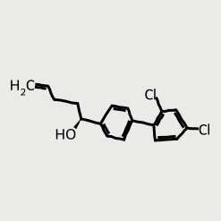 C=CCC[C@H](O)c1ccc(-c2ccc(Cl)cc2Cl)cc1